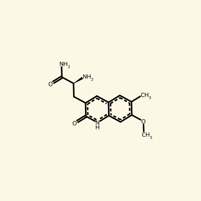 COc1cc2[nH]c(=O)c(C[C@H](N)C(N)=O)cc2cc1C